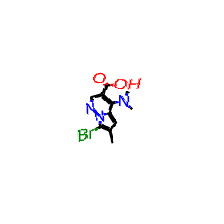 Cc1cc2c(N(C)C)c(C(=O)O)cnn2c1Br